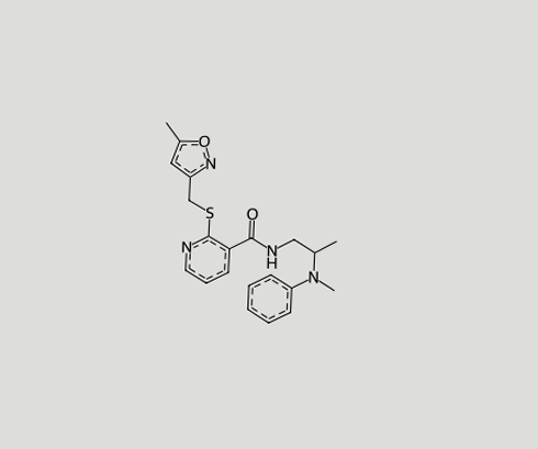 Cc1cc(CSc2ncccc2C(=O)NCC(C)N(C)c2ccccc2)no1